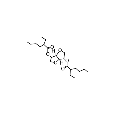 CCCCC(CC)C(=O)O[C@H]1CO[C@H]2[C@@H]1OC[C@H]2OC(=O)C(CC)CCCC